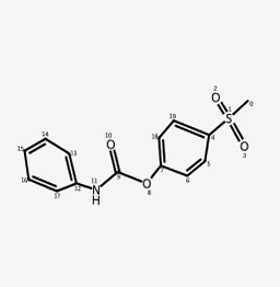 CS(=O)(=O)c1ccc(OC(=O)Nc2ccccc2)cc1